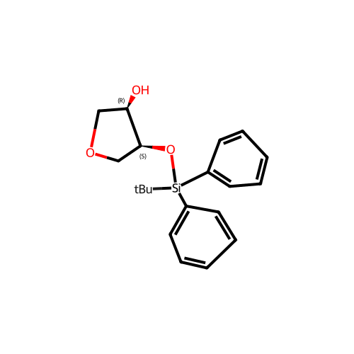 CC(C)(C)[Si](O[C@H]1COC[C@H]1O)(c1ccccc1)c1ccccc1